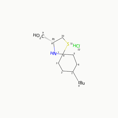 CC(C)(C)C1CCC2(CC1)N[C@H](C(=O)O)CS2.Cl